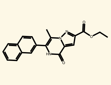 CCOC(=O)c1cc2c(=O)[nH]c(-c3ccc4ccccc4c3)c(C)n2n1